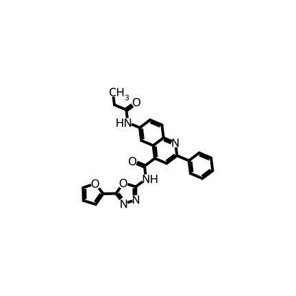 CCC(=O)Nc1ccc2nc(-c3ccccc3)cc(C(=O)Nc3nnc(-c4ccco4)o3)c2c1